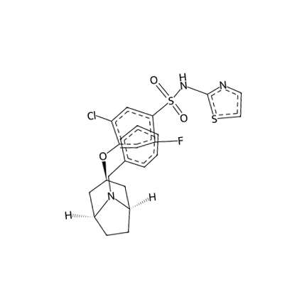 O=S(=O)(Nc1nccs1)c1cc(Cl)c(O[C@H]2C[C@H]3CC[C@@H](C2)N3Cc2ccccc2)cc1F